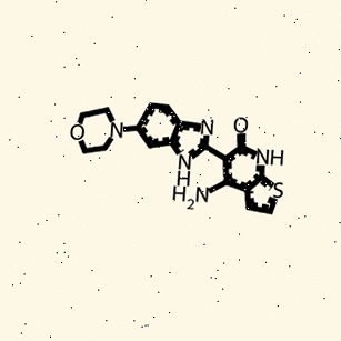 Nc1c(-c2nc3ccc(N4CCOCC4)cc3[nH]2)c(=O)[nH]c2sccc12